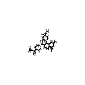 CC1(C#N)CCN(c2c(C(=O)N3CCC(C(=O)C4CC4)CC3)cnc3c(F)cc(F)cc23)CC1